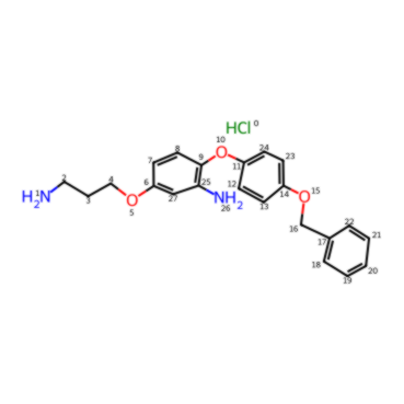 Cl.NCCCOc1ccc(Oc2ccc(OCc3ccccc3)cc2)c(N)c1